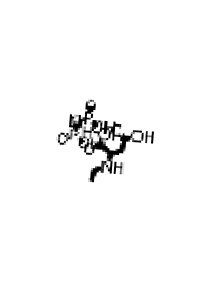 CCNC(CC(=O)O)C(=O)O.O=[PH](O)O[PH](=O)O